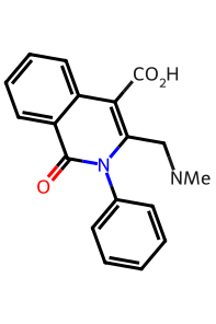 CNCc1c(C(=O)O)c2ccccc2c(=O)n1-c1ccccc1